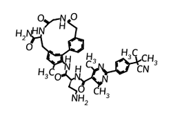 Cc1cc2cc(c1NC(=O)[C@H](CCN)NC(=O)c1c(C)nc(-c3ccc(C(C)(C)C#N)cc3)nc1C)-c1cccc(c1)CC(=O)NCC(=O)NC(C(N)=O)C2